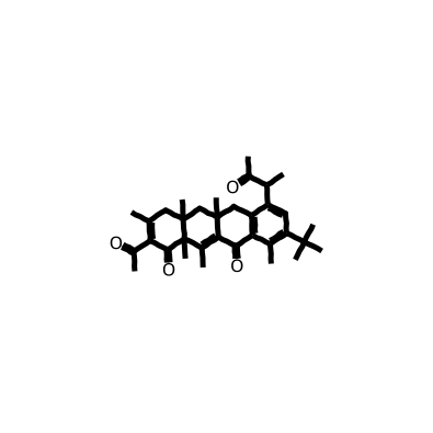 CC(=O)C1=C(C)CC2(C)CC3(C)Cc4c(C(C)C(C)=O)cc(C(C)(C)C)c(C)c4C(=O)C3=C(C)C2(C)C1=O